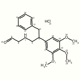 COc1cc(C(CNCC=O)Cc2ccccc2)cc(OC)c1OC.Cl